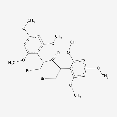 COc1cc(OC)c(C(CBr)C(=O)C(CBr)c2c(OC)cc(OC)cc2OC)c(OC)c1